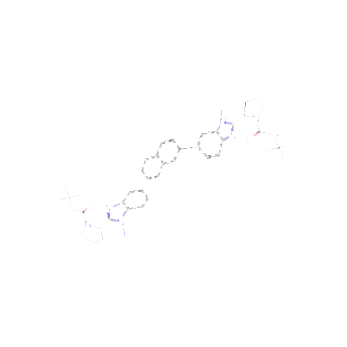 CC(C)(C)OC(=O)N1CCCC1c1nc2ccc(-c3ccc4ccc(-c5ccc6[nH]c([C@@H]7CCCN7C(=O)OC(C)(C)C)nc6c5)cc4c3)cc2[nH]1